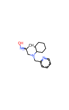 C/C(CN(Cc1ccccn1)C1CCCCC1)=N\O